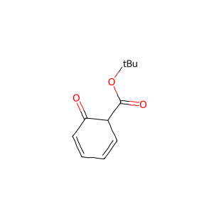 CC(C)(C)OC(=O)C1C=CC=CC1=O